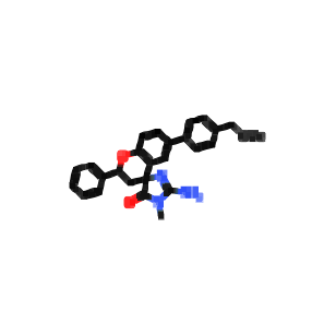 COCc1ccc(-c2ccc3c(c2)C2(CC(c4ccccc4)O3)N=C(N)N(C)C2=O)cc1